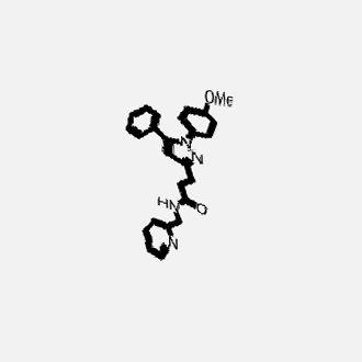 COc1ccc(-n2nc(CCC(=O)NCc3ccccn3)cc2-c2ccccc2)cc1